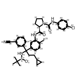 CC(C)(C)[S+]([O-])NC(CCC1CC1)(c1cccc(C#N)c1)c1ccc(F)c(NC(=O)[C@H]2CCCN2C(=O)Nc2ccc(Cl)cc2)c1